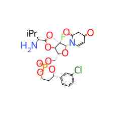 CC(C)[C@H](N)C(=O)O[C@@H]1[C@@H](CO[P@@]2(=O)OCC[C@@H](c3cccc(Cl)c3)O2)O[C@@H](N2C=CC(=O)CC2=O)[C@]1(C)F